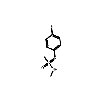 CNS(C)(=O)=Nc1ccc(Br)cc1